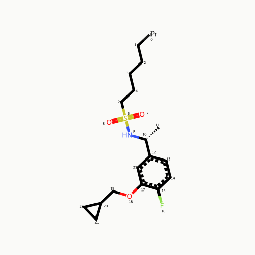 CC(C)CCCCCS(=O)(=O)N[C@H](C)c1ccc(F)c(OCC2CC2)c1